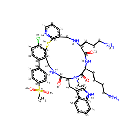 CN1C(=O)C(CCCCN)NC(=O)C(CCCN)NCc2cccnc2Sc2c(Cl)ccc(-c3ccc(S(C)(=O)=O)cc3)c2CNC(=O)C1Cc1c[nH]c2ccccc12